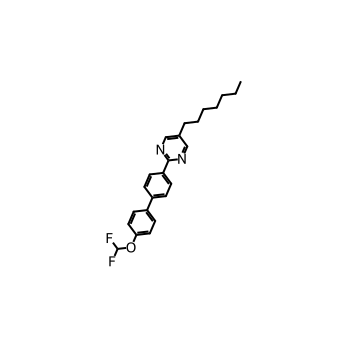 CCCCCCCc1cnc(-c2ccc(-c3ccc(OC(F)F)cc3)cc2)nc1